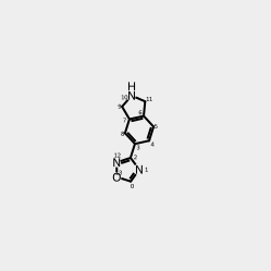 c1nc(-c2ccc3c(c2)CNC3)no1